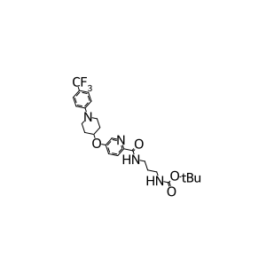 CC(C)(C)OC(=O)NCCCNC(=O)c1ccc(OC2CCN(c3ccc(C(F)(F)F)cc3)CC2)cn1